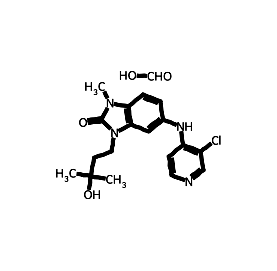 Cn1c(=O)n(CCC(C)(C)O)c2cc(Nc3ccncc3Cl)ccc21.O=CO